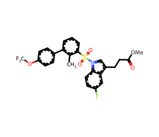 COC(=O)CCc1cn(S(=O)(=O)c2cccc(-c3ccc(OC(F)(F)F)cc3)c2C)c2ccc(F)cc12